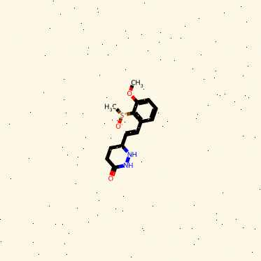 COc1cccc(/C=C/C2CCC(=O)NN2)c1[S+](C)[O-]